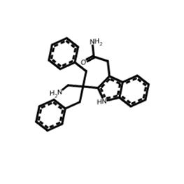 NCC(Cc1ccccc1)(Cc1ccccc1)c1[nH]c2ccccc2c1CC(N)=O